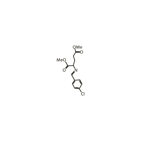 COC(=O)CCC(N=Cc1ccc(Cl)cc1)C(=O)OC